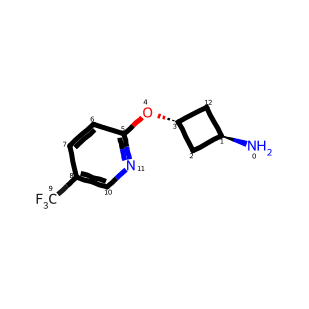 N[C@H]1C[C@H](Oc2ccc(C(F)(F)F)cn2)C1